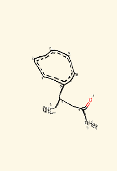 CCCCCCC(=O)C(C=O)c1ccccc1